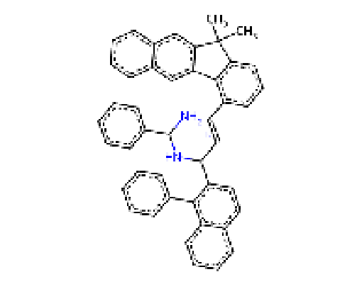 CC1(C)c2cc3ccccc3cc2-c2c(/C=C/C(NC(N)c3ccccc3)c3ccc4ccccc4c3-c3ccccc3)cccc21